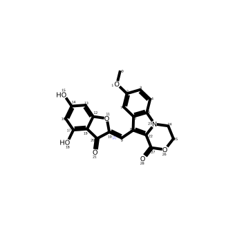 COc1ccc2c(c1)c(/C=C1\Oc3cc(O)cc(O)c3C1=O)c1n2CCOC1=O